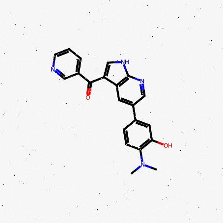 CN(C)c1ccc(-c2cnc3[nH]cc(C(=O)c4cccnc4)c3c2)cc1O